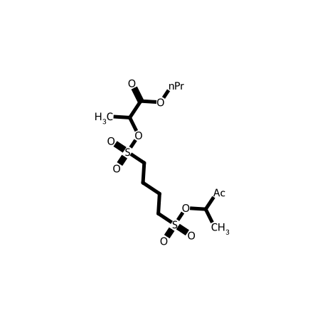 CCCOC(=O)C(C)OS(=O)(=O)CCCCS(=O)(=O)OC(C)C(C)=O